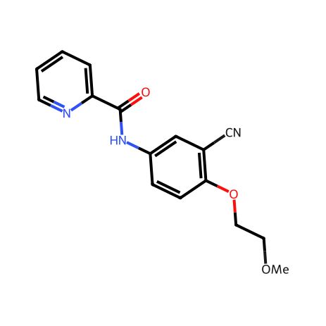 COCCOc1ccc(NC(=O)c2ccccn2)cc1C#N